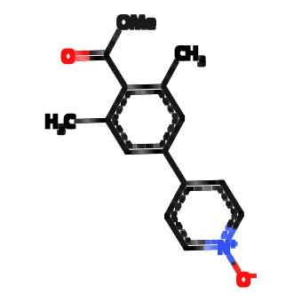 COC(=O)c1c(C)cc(-c2cc[n+]([O-])cc2)cc1C